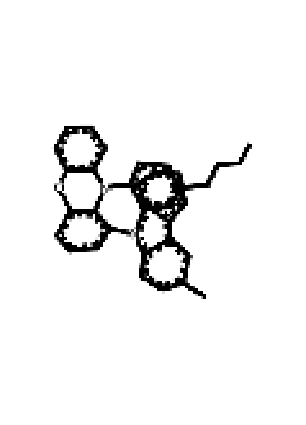 CCCCc1ccc(N2c3ccccc3Oc3cccc(-n4c5ccccc5c5cc(C)ccc54)c32)cc1